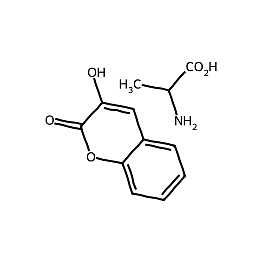 CC(N)C(=O)O.O=c1oc2ccccc2cc1O